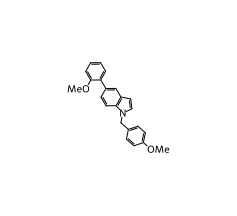 COc1ccc(Cn2ccc3cc(-c4ccccc4OC)ccc32)cc1